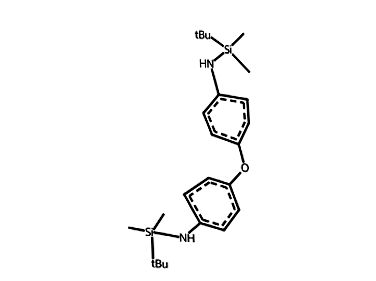 CC(C)(C)[Si](C)(C)Nc1ccc(Oc2ccc(N[Si](C)(C)C(C)(C)C)cc2)cc1